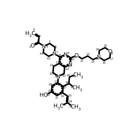 C=CC(=O)N1CCN(c2nc(OCCCN3CCOCC3)nc3c2CCN(c2cc(O)cc(C=C(C)C)c2C(C)CC)C3)CC1